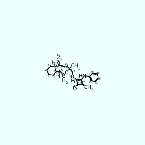 C=C1C(=O)C(NCC(C)(C)OP2N(C)[C@@H]3CCCC[C@H]3N2C)=C1Nc1ccccc1